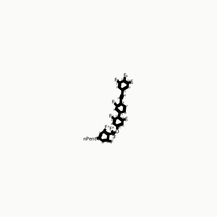 CCCCCc1cc(F)c(C(F)(F)Oc2cc(F)c(-c3ccc(C#Cc4cc(F)c(F)c(F)c4)c(F)c3)c(F)c2)c(F)c1